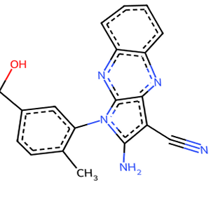 Cc1ccc(CO)cc1-n1c(N)c(C#N)c2nc3ccccc3nc21